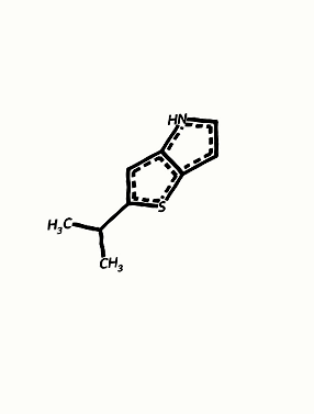 CC(C)c1cc2[nH]ccc2s1